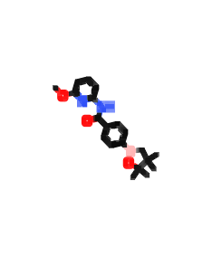 COc1cccc(NC(=O)c2ccc(B3CC(C)(C)C(C)(C)O3)cc2)n1